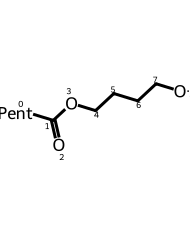 CCCC(C)C(=O)OCCCC[O]